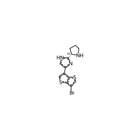 Brc1csc2c(-c3c[nH]c([C@@H]4CCCN4)n3)csc12